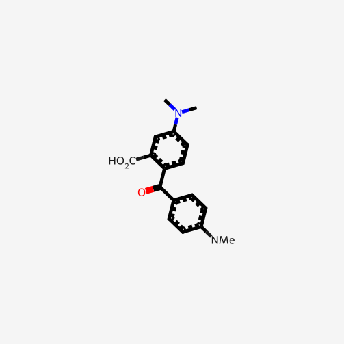 CNc1ccc(C(=O)c2ccc(N(C)C)cc2C(=O)O)cc1